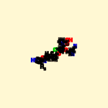 Cc1c(COc2cc(OCc3cncc(C#N)c3)c(CN3CCCCC3C(=O)O)cc2Cl)cccc1-c1ccc2oc(C3(C)CCNCC3)nc2c1